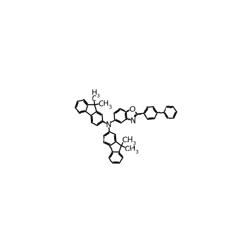 CC1(C)c2ccccc2-c2ccc(N(c3ccc4c(c3)C(C)(C)c3ccccc3-4)c3ccc4oc(-c5ccc(-c6ccccc6)cc5)nc4c3)cc21